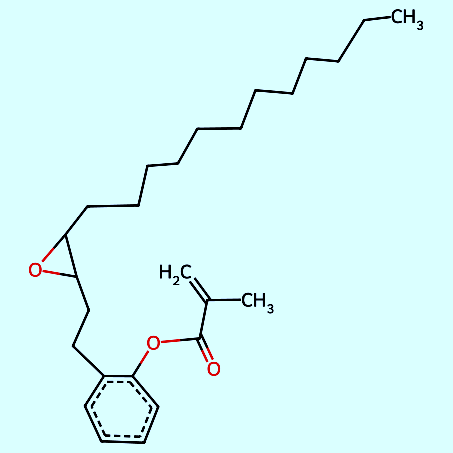 C=C(C)C(=O)Oc1ccccc1CCC1OC1CCCCCCCCCCCC